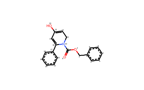 O=C(OCc1ccccc1)N1CC=C(O)C=C1c1ccccc1